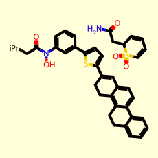 CC(C)CC(=O)N(O)c1cccc(-c2ccc(C3=Cc4ccc5c(c4CC3)CCc3ccccc3-5)s2)c1.NC(=O)CC1C=CC=CS1(=O)=O